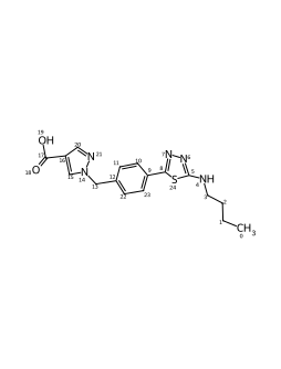 CCCCNc1nnc(-c2ccc(Cn3cc(C(=O)O)cn3)cc2)s1